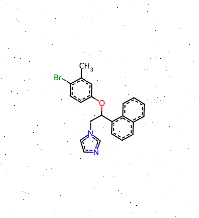 Cc1cc(OC(Cn2ccnc2)c2cccc3ccccc23)ccc1Br